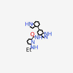 CCNc1cccc(C(=O)Nc2cc(-c3cccc4[nH]ccc34)cc3[nH]ncc23)n1